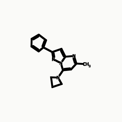 Cc1cc(N2CCC2)n2nc(-c3ccccc3)cc2n1